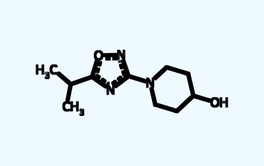 CC(C)c1nc(N2CCC(O)CC2)no1